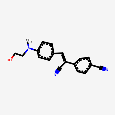 CN(CCO)c1ccc(C=C(C#N)c2ccc(C#N)cc2)cc1